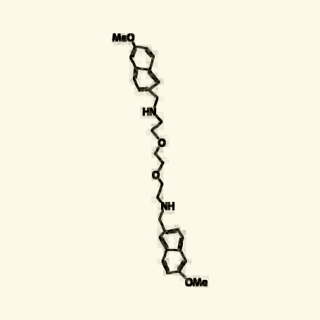 COc1ccc2cc(CNCCOCCOCCNCc3ccc4cc(OC)ccc4c3)ccc2c1